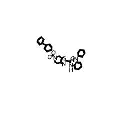 O=C(Nc1ccccc1Nc1ccccc1)c1nc2c(s1)CN(C(=O)Oc1ccc(-c3ccccc3)cc1)CC2